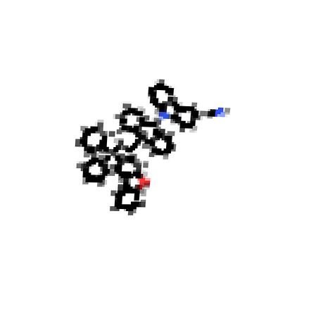 N#Cc1ccc2c(c1)c1ccccc1n2-c1c2ccccc2c(CC[Si](c2ccccc2)(c2ccccc2)c2ccc3oc4ccccc4c3c2)c2ccccc12